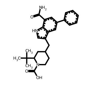 CC(C)(C)C1CC(Cc2c[nH]c3c(C(N)=O)cc(-c4ccccc4)cc23)CCN1C(=O)O